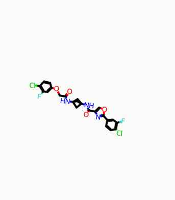 O=C(COc1ccc(Cl)c(F)c1)NC12CC(NC(=O)c3coc(-c4ccc(Cl)c(F)c4)n3)(C1)C2